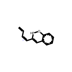 C=C/C=C\C1=Cc2ccccc2OP1